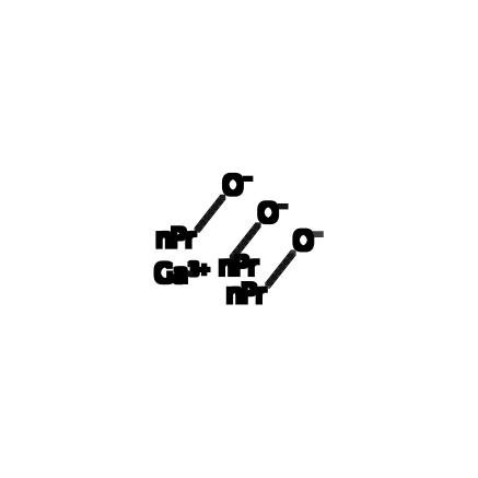 CCC[O-].CCC[O-].CCC[O-].[Ga+3]